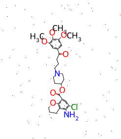 COc1cc(C(=O)CCCN2CCC(OC(=O)c3cc(Cl)c(N)c4c3OCCC4)CC2)cc(OC)c1OC